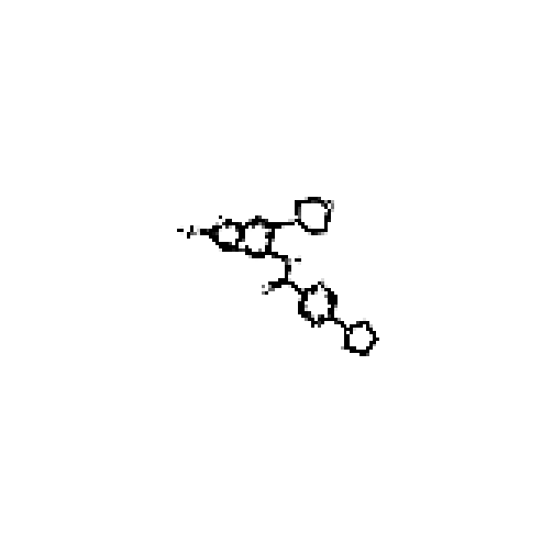 Cc1cn2cc(NC(=O)c3cnc(N4CCCC4)cn3)c(N3CCOCC3)cc2n1